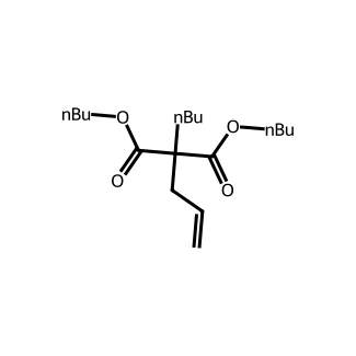 C=CCC(CCCC)(C(=O)OCCCC)C(=O)OCCCC